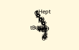 CCCCCCCOc1ccc(-c2cnc(-c3ccc(C[C@H](NC(=O)c4ccc(C(C)(C)C)s4)C(=O)NCCCN4CCOCC4)cc3)nc2)cc1